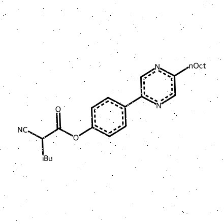 CCCCCCCCc1cnc(-c2ccc(OC(=O)C(C#N)C(C)CC)cc2)cn1